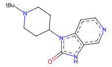 CC(C)(C)N1CCC(n2c(=O)[nH]c3cnccc32)CC1